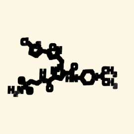 CC(C)N1CCC(NC(=O)c2cc(C(=O)NCCS(N)(=O)=O)nn2Cc2cc(-c3ccc(Cl)s3)on2)CC1